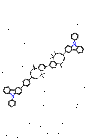 C=C1/C=C\C(c2ccc(-c3ccc4c(c3)c3ccccc3n4-c3ccccc3)cc2)=C/CC(C)(C)c2cc(-c3ccc4c(c3)C(C)(C)C(C)/C=C(c3ccc5c(c3)c3ccccc3n5-c3ccccc3)\C=C/C4=C)ccc21